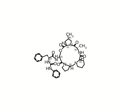 C[C@@H]1C[C@H]2C(=O)OC[C@H](NC(=O)[C@H](Cc3ccccc3)NC(=O)Nc3ccccc3)C(=O)N3CCC[C@H]3CN3CCCC[C@H]3C(=O)N[C@@H](C)C(=O)N2C1